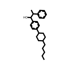 CCCCCC1CCC(c2ccc(C(O)C(C)c3ccccc3)cc2)CC1